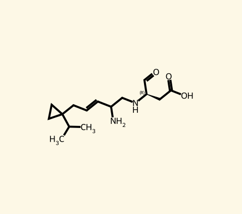 CC(C)C1(CC=CC(N)CN[C@@H](C=O)CC(=O)O)CC1